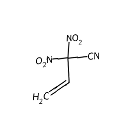 C=CC(C#N)([N+](=O)[O-])[N+](=O)[O-]